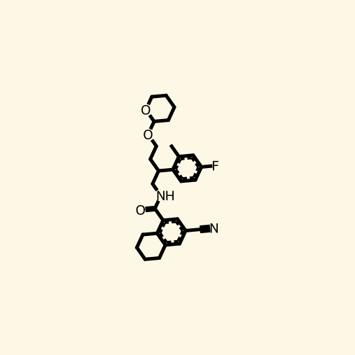 Cc1cc(F)ccc1C(CCOC1CCCCO1)CNC(=O)c1cc(C#N)cc2c1CCCC2